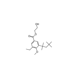 CCc1cc(C(=O)OCCO)cc(C(C)(C)CC(C)(C)C)c1OC